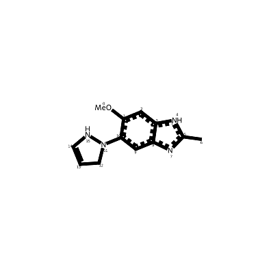 COc1cc2[nH]c(C)nc2cc1N1CC=CN1